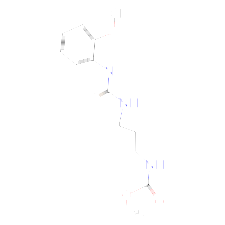 CC(C)(C)OC(=O)NCCCNC(=S)Nc1ccccc1OC(F)(F)F